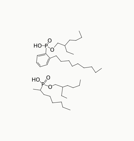 CCCCCCC(C)P(=O)(O)OCC(CC)CCCC.CCCCCCCCCc1ccccc1P(=O)(O)OCC(CC)CCCC